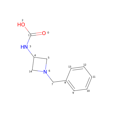 O=C(O)NC1CN(Cc2ccccc2)C1